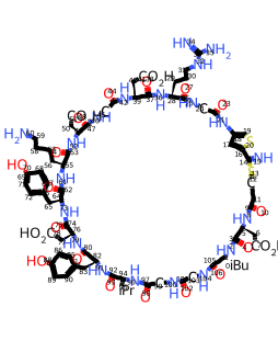 CC[C@H](C)C1NC(=O)[C@H](CC(=O)O)NC(=O)CCSC(=N)c2cc(cs2)NC(=O)CNC(=O)[C@H](CCCNC(=N)N)NC(=O)[C@H](CC(=O)O)NC(=O)CNC(=O)[C@H](CC(=O)O)NC(=O)[C@H](CCCCN)NC(=O)[C@H](Cc2ccc(O)cc2)NC(=O)[C@H](CC(=O)O)NC(=O)[C@H](Cc2ccc(O)cc2)NC(=O)C(C(C)C)NC(=O)CNC(=O)CNC1=O